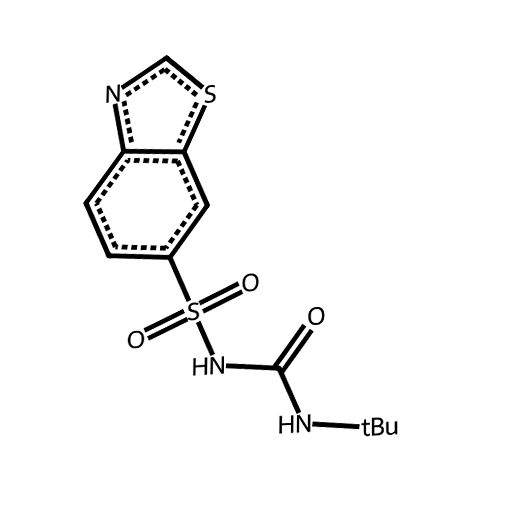 CC(C)(C)NC(=O)NS(=O)(=O)c1ccc2ncsc2c1